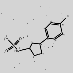 CC(C)S(=O)(=O)NC1CCC(c2ccc(I)cc2)C1